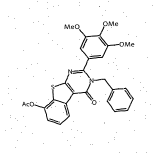 COc1cc(-c2nc3sc4c(OC(C)=O)cccc4c3c(=O)n2Cc2ccccc2)cc(OC)c1OC